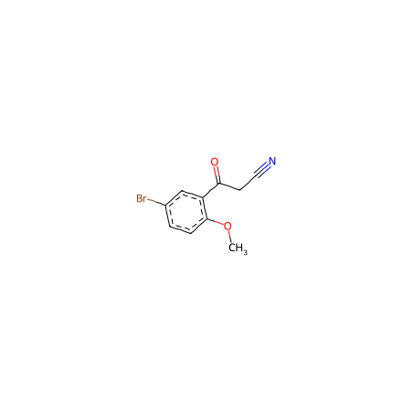 COc1ccc(Br)cc1C(=O)CC#N